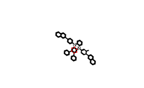 CC1C=C(N(c2ccc(-c3ccccc3)cc2)c2ccccc2N(c2ccc(-c3ccccc3)cc2)c2ccc(-c3ccc4ccccc4c3)cc2)C=CC1c1ccc2ccccc2c1